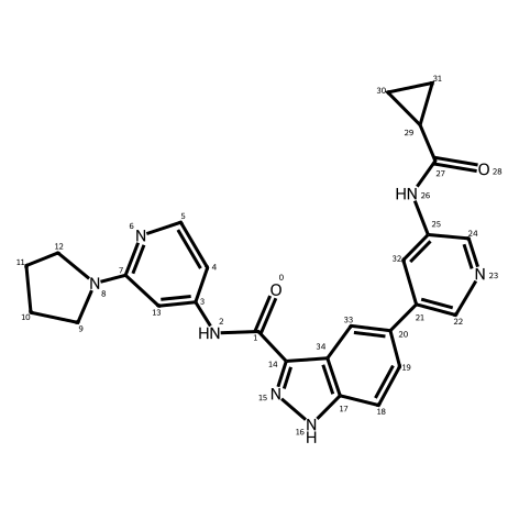 O=C(Nc1ccnc(N2CCCC2)c1)c1n[nH]c2ccc(-c3cncc(NC(=O)C4CC4)c3)cc12